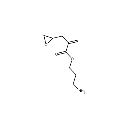 C=C(CC1CO1)C(=O)OCCCN